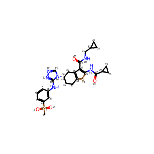 CS(=O)(=O)c1cccc(Nc2nncn2[C@H]2CCc3sc(NC(=O)C4CC4)c(C(=O)NCC4CC4)c3C2)c1